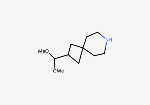 COC(OC)C1CC2(CCNCC2)C1